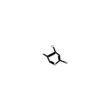 Clc1cc(Br)ncc1I